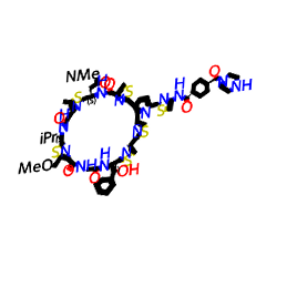 CNC(=O)C[C@@H]1NC(=O)c2csc(n2)-c2ccc(-c3nc(NC(=O)[C@H]4CC[C@H](C(=O)N5CCNCC5)CC4)cs3)nc2-c2csc(n2)-c2csc(n2)[C@H]([C@@H](O)c2ccccc2)NC(=O)CNC(=O)c2nc(sc2COC)[C@H](C(C)C)NC(=O)c2nc1sc2C